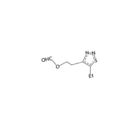 CCc1snnc1CCOC=O